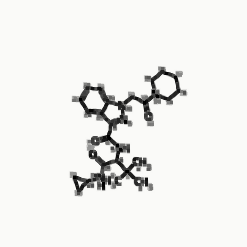 CC(C)(C)C(NC(=O)c1nn(CC(=O)N2CCCCC2)c2ccccc12)C(=O)NC1CC1